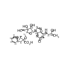 C#C[C@@]1(O)[C@@H](COC(Cc2ccccc2)(C(=O)O)C(=O)O)O[C@@H](n2cnc3c(NCC(C)O)nc(Cl)nc32)[C@@H]1O